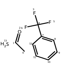 CC=O.FC(F)(F)c1ccccc1.S